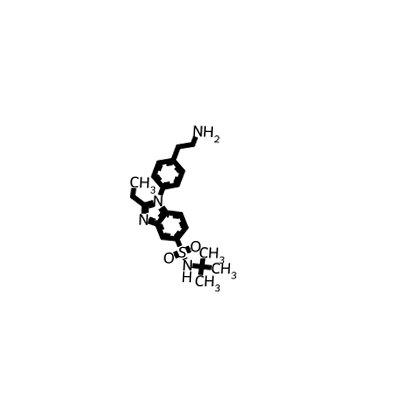 CCc1nc2cc(S(=O)(=O)NC(C)(C)C)ccc2n1-c1ccc(CCN)cc1